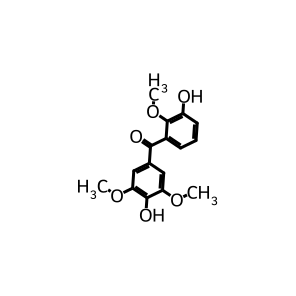 COc1cc(C(=O)c2cccc(O)c2OC)cc(OC)c1O